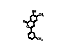 Cc1cccc(-c2cc3cc(C)c(O)cc3c(=O)o2)c1